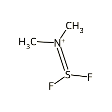 C[N+](C)=S(F)F